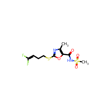 Cc1nc(SCCC=C(F)F)oc1C(=O)NS(C)(=O)=O